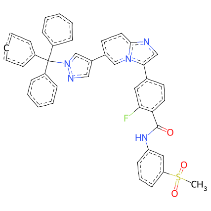 CS(=O)(=O)c1cccc(NC(=O)c2ccc(-c3cnc4ccc(-c5cnn(C(c6ccccc6)(c6ccccc6)c6ccccc6)c5)cn34)cc2F)c1